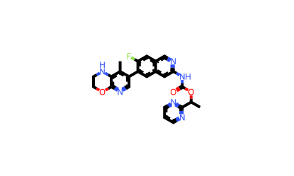 Cc1c(-c2cc3cc(NC(=O)OC(C)c4ncccn4)ncc3cc2F)cnc2c1NCCO2